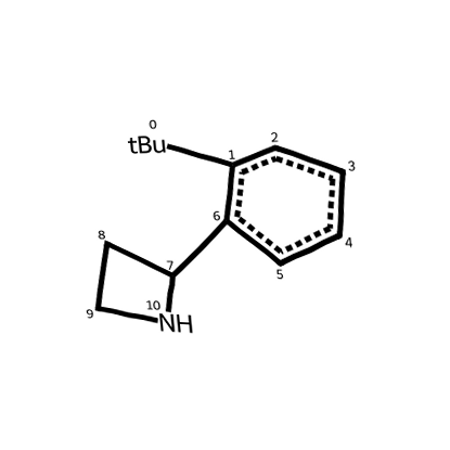 CC(C)(C)c1ccccc1C1CCN1